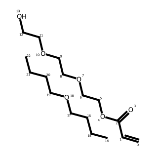 C=CC(=O)OCCOCCOCCO.CCCCOCCCC